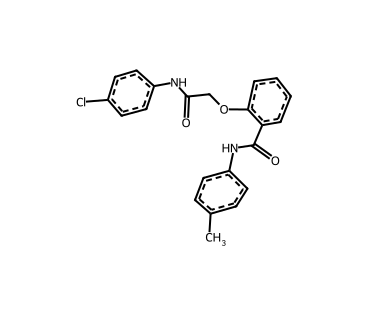 Cc1ccc(NC(=O)c2ccccc2OCC(=O)Nc2ccc(Cl)cc2)cc1